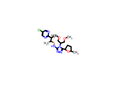 COCC(COC)n1c(NSC(C)C(C)c2ncc(Cl)cn2)nnc1C1CCC(C)O1